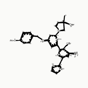 COc1ccc(COc2cc(-c3nc(-c4nccs4)cc(N)c3Br)nc(N3CCC(C)(O)C3)c2)cc1